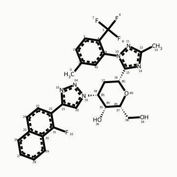 Cc1ccc(C(F)(F)F)c(-n2nc(C)nc2[C@H]2C[C@@H](n3cc(-c4ccc5ccccc5c4F)nn3)[C@@H](O)[C@@H](CO)O2)c1